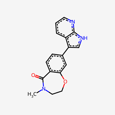 CN1CCOc2cc(-c3c[nH]c4ncccc34)ccc2C1=O